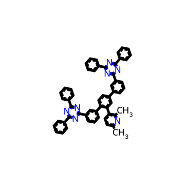 Cc1ccc(-c2cc(-c3cccc(-c4nc(-c5ccccc5)nc(-c5ccccc5)n4)c3)ccc2-c2cccc(-c3nc(-c4ccccc4)nc(-c4ccccc4)n3)c2)c(C)n1